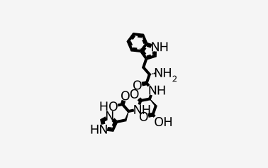 N[C@@H](Cc1c[nH]c2ccccc12)C(=O)N[C@@H](CC(=O)O)C(=O)N[C@@H](Cc1c[nH]cn1)C(=O)O